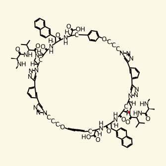 CN[C@@H](C)C(=O)N[C@H](C(=O)N1C[C@@H]2C[C@H]1C(=O)N[C@@H](Cc1ccc3ccccc3c1)C(=O)N[C@H](C(=O)O)Cc1ccc(cc1)OCCCn1cc(nn1)-c1cccc(c1)-c1cn(nn1)[C@H]1C[C@@H](C(=O)N[C@@H](Cc3ccc4ccccc4c3)C(=O)N[C@H](C(=O)O)Cc3ccc(cc3)OCCCn3cc(nn3)-c3cccc(c3)-c3cn2nn3)N(C(=O)[C@@H](NC(=O)[C@H](C)NC)C(C)C)C1)C(C)C